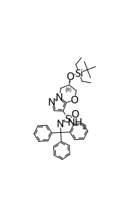 CC[Si](CC)(O[C@H]1COc2c(S(N)(=O)=NC(c3ccccc3)(c3ccccc3)c3ccccc3)cnn2C1)C(C)(C)C